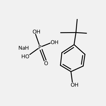 CC(C)(C)c1ccc(O)cc1.O=P(O)(O)O.[NaH]